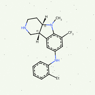 CCc1ccccc1Nc1cc2c(c(C(F)(F)F)c1)N(C)[C@H]1CCNC[C@@H]21